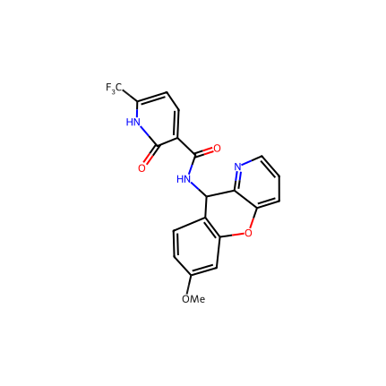 COc1ccc2c(c1)Oc1cccnc1C2NC(=O)c1ccc(C(F)(F)F)[nH]c1=O